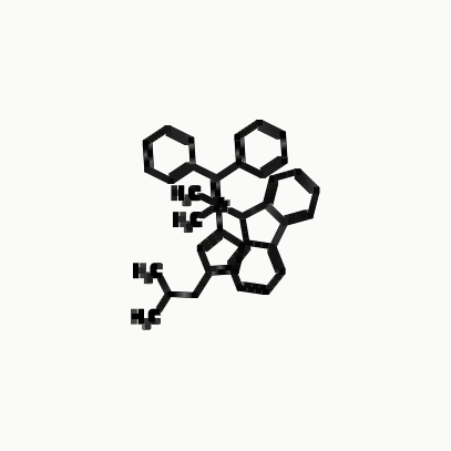 CC(C)CC1=CC[C]([Zr]([CH3])([CH3])(=[C](c2ccccc2)c2ccccc2)[CH]2c3ccccc3-c3ccccc32)=C1